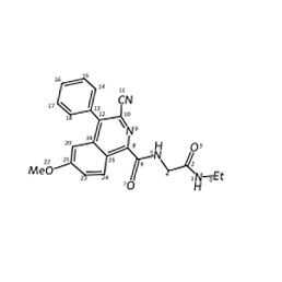 CCNC(=O)CNC(=O)c1nc(C#N)c(-c2ccccc2)c2cc(OC)ccc12